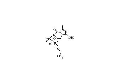 Cn1nc(C=O)c2c1C(=O)N(CC1(S(=O)(=O)C(C)(C)COSPI)CC1)CC2